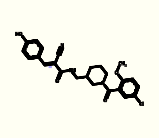 COc1ccc(Cl)cc1C(=O)N1CCCC(CNC(=O)/C(C#N)=C/c2ccc(O)cc2)C1